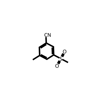 Cc1cc(C#N)cc(S(C)(=O)=O)c1